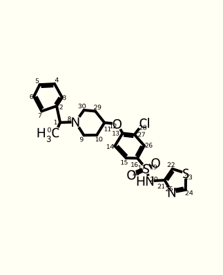 CC(c1ccccc1)N1CCC(Oc2ccc(S(=O)(=O)Nc3cscn3)cc2Cl)CC1